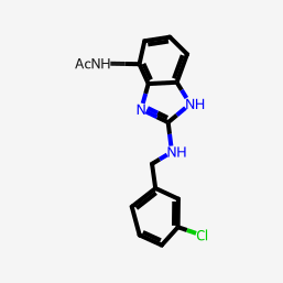 CC(=O)Nc1cccc2[nH]c(NCc3cccc(Cl)c3)nc12